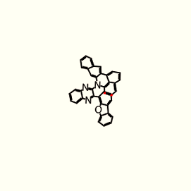 c1ccc2cc3c(cc2c1)-c1cccc2cccc(c12)N3c1nc2ccccc2nc1-c1cccc2c1oc1ccccc12